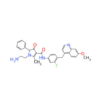 COc1ccc2c(Cc3ccc(NC(=O)C4=C(C)N(CCN)C(c5ccccc5)C4=O)cc3F)ccnc2c1